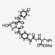 COC(=O)C(CC(C)C)NCC(=O)N(C)c1ccc(NC(=O)[C@H]2C[C@@H](O)CN2C(=O)Nc2ccc(Cl)cc2)cc1